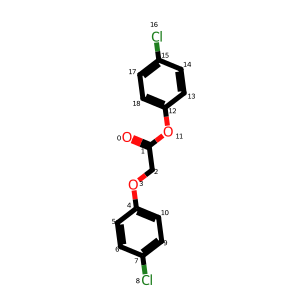 O=C(COc1ccc(Cl)cc1)Oc1ccc(Cl)cc1